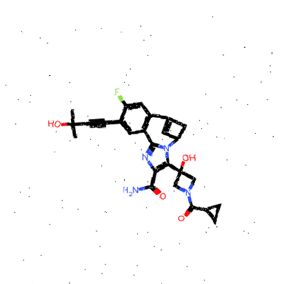 CC(C)(O)C#Cc1cc2c(cc1F)C1=CC(C1)n1c-2nc(C(N)=O)c1C1(O)CN(C(=O)C2CC2)C1